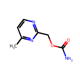 Cc1ccnc(COC(N)=O)n1